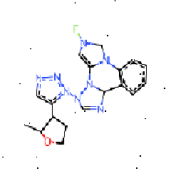 CC1OCCC1c1cnnn1N1C=NC2c3ccccc3N3CN(F)C=C3N21